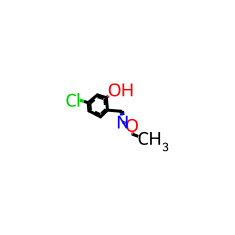 CCO/N=C/c1ccc(Cl)cc1O